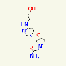 NC(=O)CN1CCC(Oc2cc(NCCCO)ncn2)C1